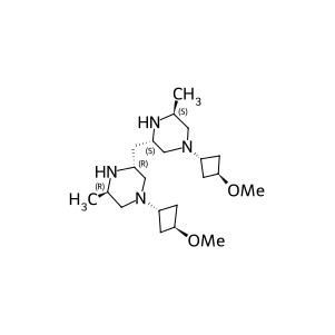 CO[C@H]1C[C@H](N2C[C@@H](C[C@H]3CN([C@H]4C[C@H](OC)C4)C[C@H](C)N3)N[C@H](C)C2)C1